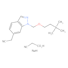 C[Si](C)(C)CCOCn1ncc2ccc(CC#N)cc21.N#CCC(=O)O.[NaH]